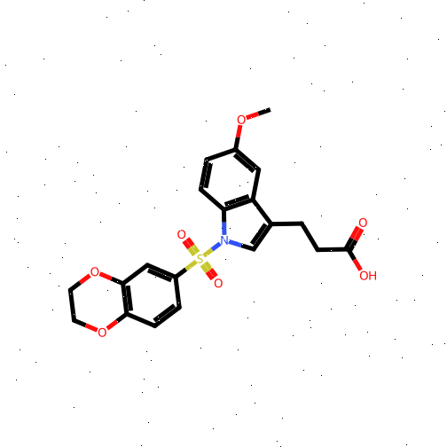 COc1ccc2c(c1)c(CCC(=O)O)cn2S(=O)(=O)c1ccc2c(c1)OCCO2